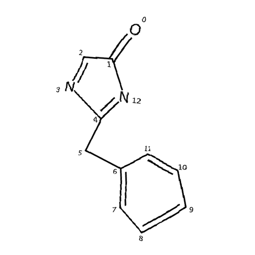 O=C1C=NC(Cc2ccccc2)=N1